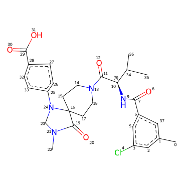 Cc1cc(Cl)cc(C(=O)N[C@@H](C(=O)N2CCC3(CC2)C(=O)N(C)CN3c2ccc(C(=O)O)cc2)C(C)C)c1